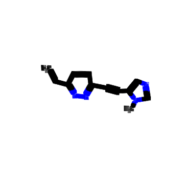 C=Cc1ccc(C#Cc2cncn2C)nn1